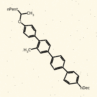 CCCCCCCCCCc1ccc(-c2ccc(-c3ccc(-c4ccc(OC(C)CCCCC)cc4)c(C)c3)cc2)cc1